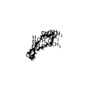 CC(C)(CCOC(C)(N)C(C)(C)COC(C)(C)CCOCC(O)COCCCCO)OCCOCC(O)COCCc1cccs1